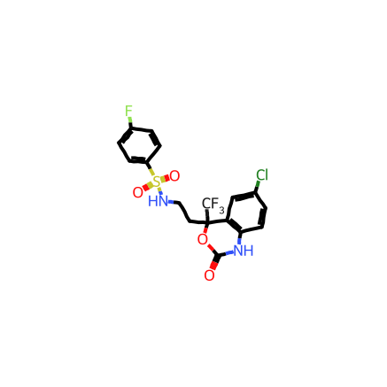 O=C1Nc2ccc(Cl)cc2C(CCNS(=O)(=O)c2ccc(F)cc2)(C(F)(F)F)O1